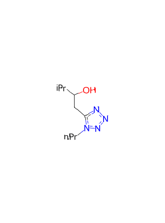 CCCn1nnnc1CC(O)C(C)C